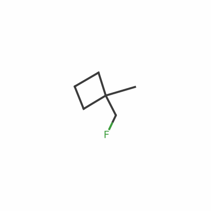 CC1(CF)CCC1